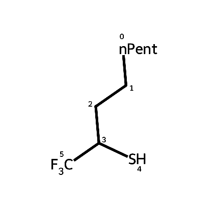 CCCCCCCC(S)C(F)(F)F